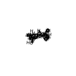 CC(C)C[C@@H](NC(=O)[C@@H](Cc1ccccc1)NC(=O)[C@@H](Cc1ccccc1)NC(=O)OC(C)(C)C)C(=O)N[C@H](CCCCNC(=O)OC(C)(C)C)C(=O)N1CCC(NC(=O)OC(C)(C)C)(C(=O)OCCO)C1